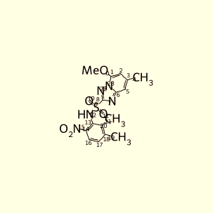 COc1cc(C)cc2nc(S(=O)(=O)Nc3c([N+](=O)[O-])ccc(C)c3C)nn12